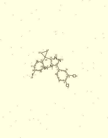 CC(C)n1c(-c2ccc(Cl)c(Cl)c2)nnc1C1(c2ccc(F)cc2)CC1